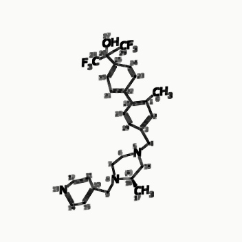 Cc1cc(CN2CCN(Cc3ccncc3)[C@H](C)C2)ccc1-c1ccc(C(O)(C(F)(F)F)C(F)(F)F)cc1